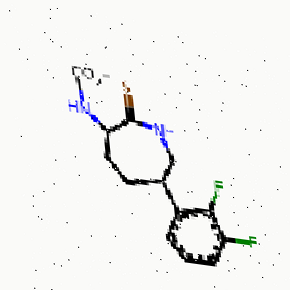 O=C(O)NC1CCC(c2cccc(F)c2F)CNC1=S